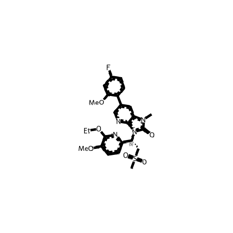 CCOc1nc([C@@H](CS(C)(=O)=O)n2c(=O)n(C)c3cc(-c4ccc(F)cc4OC)cnc32)ccc1OC